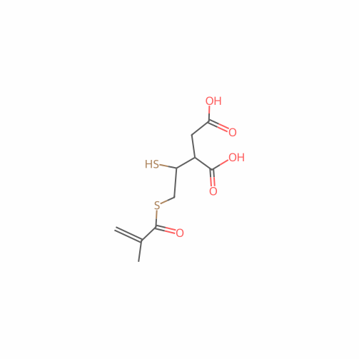 C=C(C)C(=O)SCC(S)C(CC(=O)O)C(=O)O